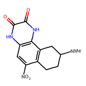 CNC1CCc2c([N+](=O)[O-])cc3[nH]c(=O)c(=O)[nH]c3c2C1